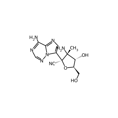 C[C@@]1(N)[C@H](O)[C@@H](CO)O[C@@]1(C#N)c1cnc2c(N)ncnn12